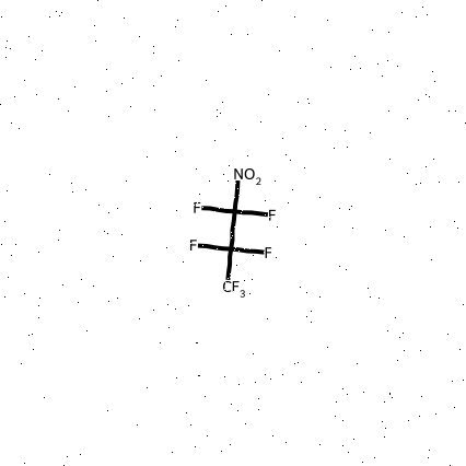 O=[N+]([O-])C(F)(F)C(F)(F)C(F)(F)F